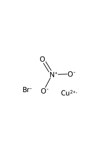 O=[N+]([O-])[O-].[Br-].[Cu+2]